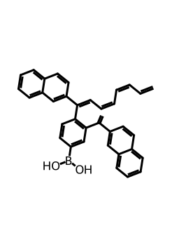 C=C\C=C/C=C\C=C(\c1ccc2ccccc2c1)c1ccc(B(O)O)cc1C(=C)c1ccc2ccccc2c1